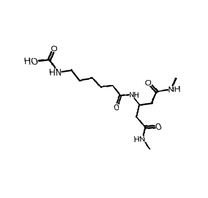 CNC(=O)CC(CC(=O)NC)NC(=O)CCCCCNC(=O)O